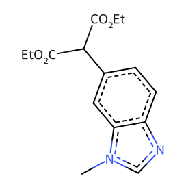 CCOC(=O)C(C(=O)OCC)c1ccc2ncn(C)c2c1